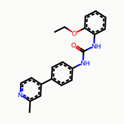 CCOc1ccccc1NC(=O)Nc1ccc(-c2ccnc(C)c2)cc1